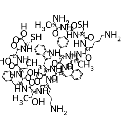 CC(O)[C@H](NC(=O)[C@H](Cc1ccccc1)NC(=O)[C@@H](NC(=O)[C@H](CCCCN)NC(=O)[C@@H](Cc1c[nH]c2ccccc12)NC(=O)[C@H](Cc1ccccc1)NC(=O)[C@H](Cc1ccccc1)NC(=O)[C@@H](C)NC(=O)[C@H](CCCCN)NC(=O)[C@H](CS)NC(=O)CNC(=O)[C@H](C)N)C(C)O)C(=O)N[C@@H](CO)C(=O)N[C@@H](CS)C(=O)O